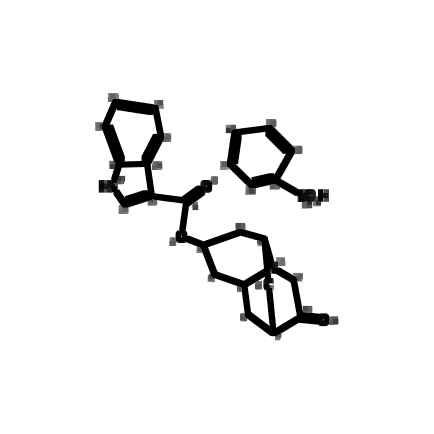 O=C(OC1CC2CC3CC(C1)N2CC3=O)c1c[nH]c2ccccc12.O=S(=O)(O)c1ccccc1